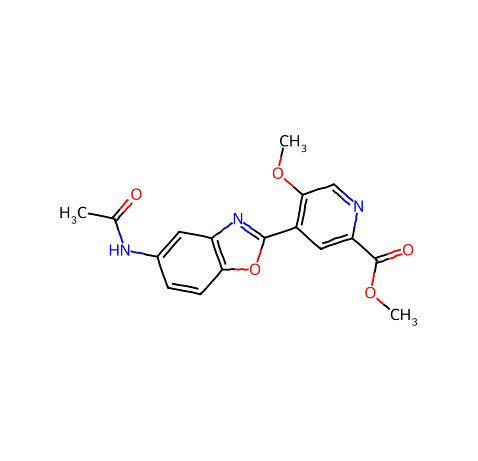 COC(=O)c1cc(-c2nc3cc(NC(C)=O)ccc3o2)c(OC)cn1